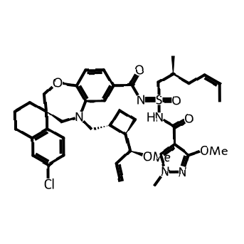 C=C[C@H](OC)[C@@H]1CC[C@H]1CN1C[C@@]2(CCCc3cc(Cl)ccc32)COc2ccc(C(=O)N=S(=O)(C[C@@H](C)C/C=C\C)NC(=O)c3cn(C)nc3OC)cc21